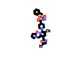 CCc1cnc(-c2cc(C#N)c(N3CCC(C(=O)NS(=O)(=O)Cc4ccccc4)CC3)nc2CN2CCCC2=O)o1